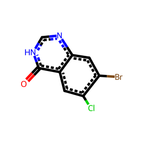 O=c1[nH]cnc2cc(Br)c(Cl)cc12